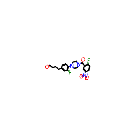 O=CCCCc1ccc(N2CCN(C(=O)c3cc([N+](=O)[O-])ccc3F)CC2)c(F)c1